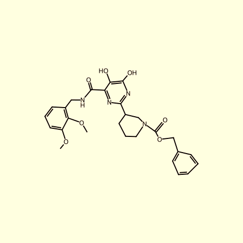 COc1cccc(CNC(=O)c2nc(C3CCCN(C(=O)OCc4ccccc4)C3)nc(O)c2O)c1OC